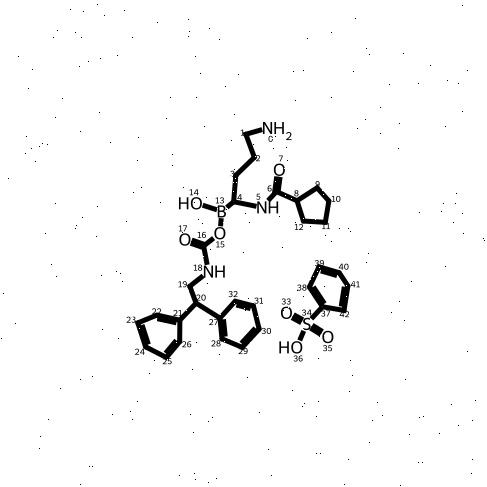 NCCCC(NC(=O)C1CCCC1)B(O)OC(=O)NCC(c1ccccc1)c1ccccc1.O=S(=O)(O)c1ccccc1